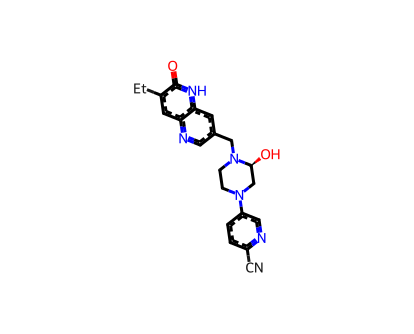 CCc1cc2ncc(CN3CCN(c4ccc(C#N)nc4)C[C@@H]3O)cc2[nH]c1=O